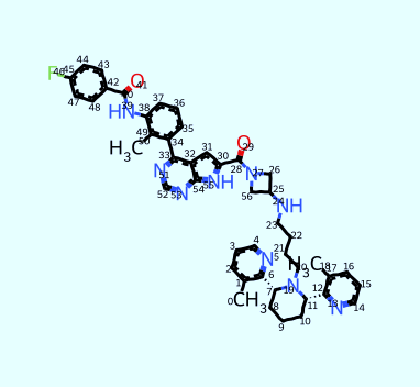 Cc1cccnc1[C@H]1CCC[C@@H](c2ncccc2C)N1CCCCNC1CN(C(=O)c2cc3c(-c4cccc(NC(=O)c5ccc(F)cc5)c4C)ncnc3[nH]2)C1